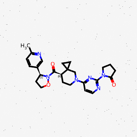 Cc1ccc([C@@H]2CCON2C(=O)[C@@H]2CCN(c3ccnc(N4CCCC4=O)n3)CC23CC3)cn1